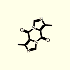 Cc1ncn2c(=O)c3c(C)ncn3c(=O)c12